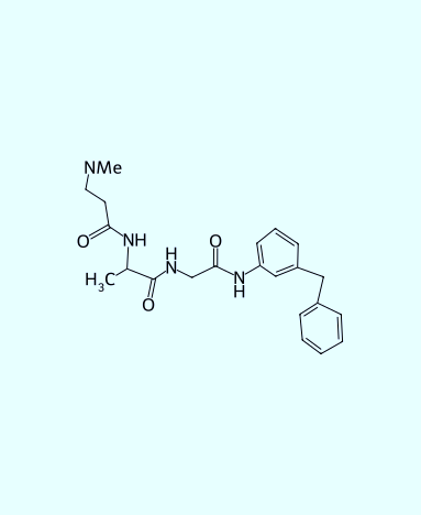 CNCCC(=O)NC(C)C(=O)NCC(=O)Nc1cccc(Cc2ccccc2)c1